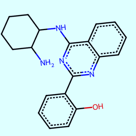 NC1CCCCC1Nc1nc(-c2ccccc2O)nc2ccccc12